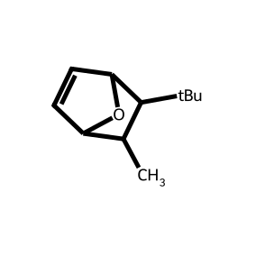 CC1C2C=CC(O2)C1C(C)(C)C